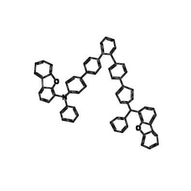 c1ccc(C(c2ccc(-c3ccc(-c4ccccc4-c4ccc(-c5ccc(N(c6ccccc6)c6cccc7c6oc6ccccc67)cc5)cc4)cc3)cc2)c2cccc3c2oc2ccccc23)cc1